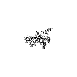 CC(=O)OC1C(N=[N+]=[N-])CC(N=[N+]=[N-])C(OC2OC(C(C3CC3)N(Cc3ccccc3)C(=O)OCc3ccccc3)CCC2N=[N+]=[N-])C1OC(C)=O